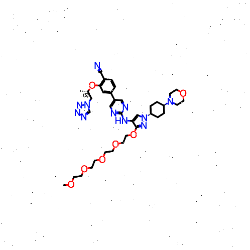 COCCOCCOCCOCCOc1nn([C@H]2CC[C@H](N3CCOCC3)CC2)cc1Nc1ncc(-c2ccc(C#N)c(O[C@@H](C)Cn3cnnn3)c2)cn1